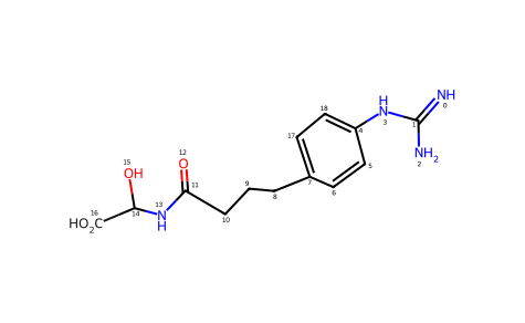 N=C(N)Nc1ccc(CCCC(=O)NC(O)C(=O)O)cc1